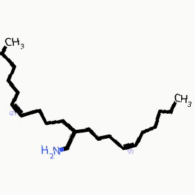 CCCCC/C=C\CCCC(CN)CCC/C=C\CCCCC